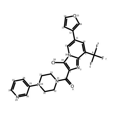 O=C(c1nc2c(C(F)(F)F)cc(-c3ccoc3)cn2c1Cl)N1CCN(c2cccnc2)CC1